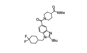 CNC(=O)C1CCN(C(=O)c2ccc3c(c2)nc(C(C)(C)C)n3CC2CCC(F)(F)CC2)CC1